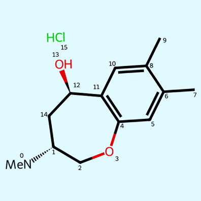 CN[C@H]1COc2cc(C)c(C)cc2[C@H](O)C1.Cl